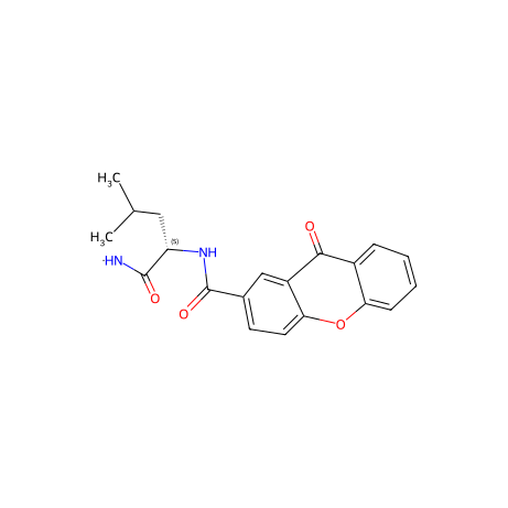 CC(C)C[C@H](NC(=O)c1ccc2oc3ccccc3c(=O)c2c1)C([NH])=O